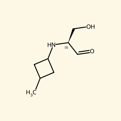 CC1CC(N[C@H](C=O)CO)C1